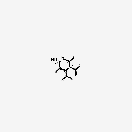 CC(C)N(C(C)C)N(C(C)C)C(C)C.[LiH].[LiH]